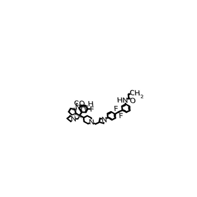 C=CC(=O)Nc1cccc(C(F)(F)c2ccc(N3CC(CN4CCC([C@@](CN5CCC5)(c5cccc(F)c5)[C@H]5CCC[C@@H]5NC(=O)O)CC4)C3)cc2)c1